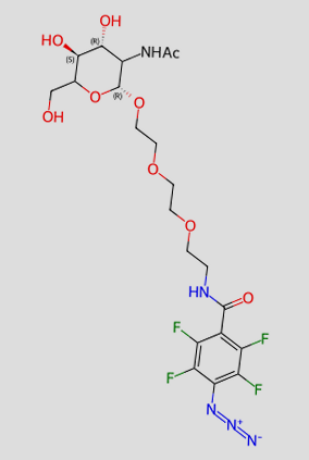 CC(=O)NC1[C@H](OCCOCCOCCNC(=O)c2c(F)c(F)c(N=[N+]=[N-])c(F)c2F)OC(CO)[C@@H](O)[C@@H]1O